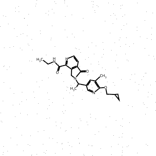 CCNC(=O)c1nccc2c1CN(C(C)c1cnc(OCC3CC3)c(C)c1)C2=O